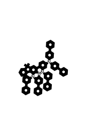 CC1(C)c2ccccc2-c2c1cc1c3c2N(c2cccc(-c4ccccc4)c2)c2cc(-c4ccccc4)ccc2B3N(c2cccc(-c3ccccc3)c2)c2cc(N(c3ccc(-c4ccccc4)cc3)c3ccc(-c4ccccc4)cc3)ccc2-1